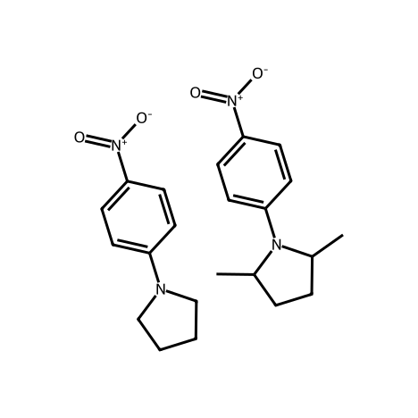 CC1CCC(C)N1c1ccc([N+](=O)[O-])cc1.O=[N+]([O-])c1ccc(N2CCCC2)cc1